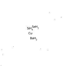 [BaH2].[Cu].[SeH2].[SiH4]